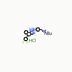 CCCCN(C)CCc1ccc(Nc2ncc3c(n2)-c2ccccc2[C@H](c2ccc(F)c(F)c2)C3)cc1.Cl